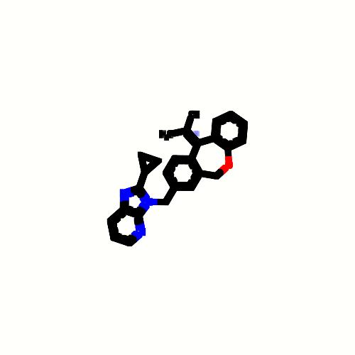 C/C(C#N)=C1\c2ccc(Cn3c(C4CC4)nc4cccnc43)cc2COc2ccccc21